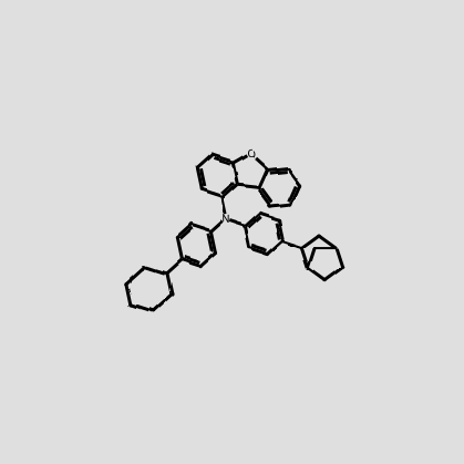 c1ccc2c(c1)oc1cccc(N(c3ccc(C4CCCCC4)cc3)c3ccc(C4CC5CCC4C5)cc3)c12